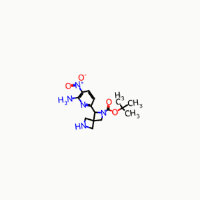 CC(C)(C)OC(=O)N1CC2(CNC2)C1c1ccc([N+](=O)[O-])c(N)n1